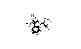 CC(C#N)N1CC(C)(C)c2ccccc21